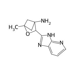 CC12CC(N)(C1)C(c1nc3cccnc3[nH]1)O2